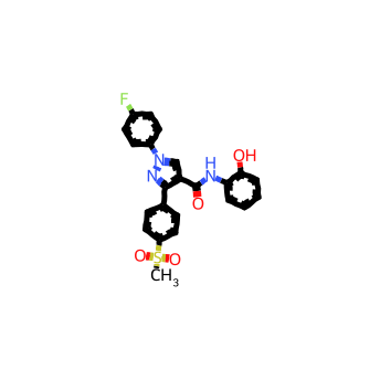 CS(=O)(=O)c1ccc(-c2nn(-c3ccc(F)cc3)cc2C(=O)Nc2ccccc2O)cc1